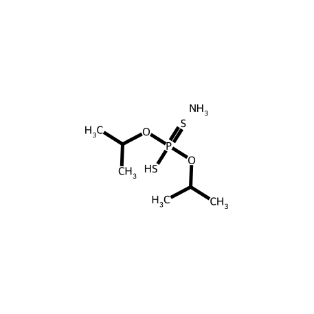 CC(C)OP(=S)(S)OC(C)C.N